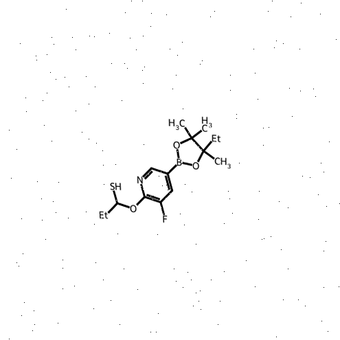 CCC(S)Oc1ncc(B2OC(C)(C)C(C)(CC)O2)cc1F